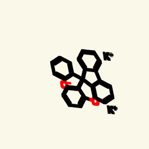 [K+].[K+].[O-]c1ccccc1C1(c2ccccc2[O-])c2ccccc2-c2ccccc21